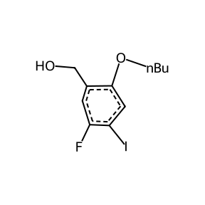 CCCCOc1cc(I)c(F)cc1CO